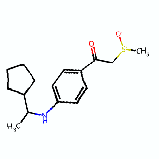 CC(Nc1ccc(C(=O)C[S+](C)[O-])cc1)C1CCCC1